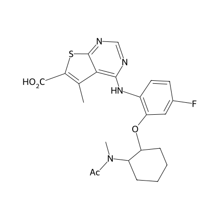 CC(=O)N(C)C1CCCCC1Oc1cc(F)ccc1Nc1ncnc2sc(C(=O)O)c(C)c12